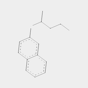 CCCC(C)Pc1ccc2ccccc2c1